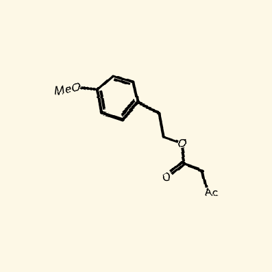 COc1ccc(CCOC(=O)CC(C)=O)cc1